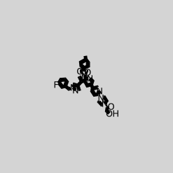 Cc1ccc(S(=O)(=O)n2cc(-c3cnn(Cc4cccc(F)c4)c3)c3cc(-c4ccc(N5CCN(C(=O)CO)CC5)nc4)cnc32)cc1